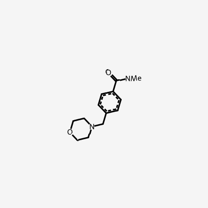 CNC(=O)c1ccc(CN2CCOCC2)cc1